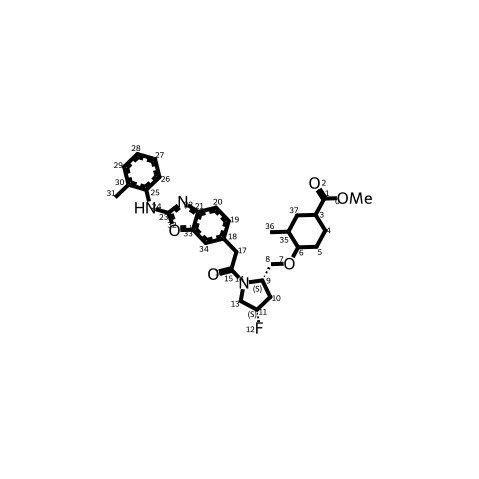 COC(=O)C1CCC(OC[C@@H]2C[C@H](F)CN2C(=O)Cc2ccc3nc(Nc4ccccc4C)oc3c2)C(C)C1